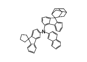 c1ccc2c(c1)-c1cc(N(c3ccc4ccccc4c3)c3cccc4c3-c3ccccc3C43C4CC5CC(C4)CC3C5)ccc1C21CCCC1